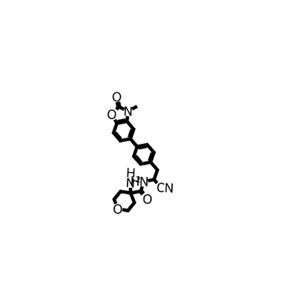 Cn1c(=O)oc2ccc(-c3ccc(CC(C#N)NC(=O)C4(N)CCOCC4)cc3)cc21